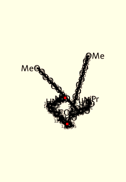 COCCOCCOCCOCCOCCOCCOCCOCCCN(CCCOCCOCCOCCOCCOCCOCCOCCOC)CCCc1cc(NC(=O)[C@H](C)NC(=O)[C@@H](N)C(C)C)ccc1COC(=O)N(CCOC12CC3(C)CC(C)(CC(Cn4ncc(-c5ccc(N6CCc7cccc(C(=O)Nc8nc9ccccc9s8)c7C6)nc5C(=O)O)c4C)(C3)C1)C2)CCS(=O)(=O)O